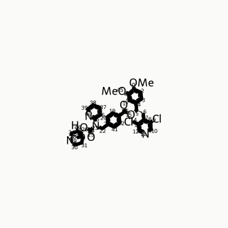 COc1ccc([C@H](Cc2c(Cl)cncc2Cl)OC(=O)c2ccc(CN(C(=O)O[C@H]3CN4CCC3CC4)c3ccccn3)cc2)cc1OC